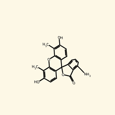 Cc1c(O)ccc2c1Oc1c(ccc(O)c1C)C21OC(=O)c2c(N)cccc21